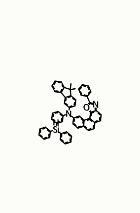 CC1(C)c2ccccc2-c2cc(N(c3cccc([SiH](c4ccccc4)c4ccccc4)c3)c3ccc4ccc5ccc6nc(-c7ccccc7)oc6c5c4c3)ccc21